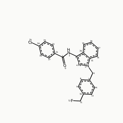 O=C(Nc1nn(Cc2ccc(CF)cc2)c2ccccc12)c1ccc(Cl)cc1